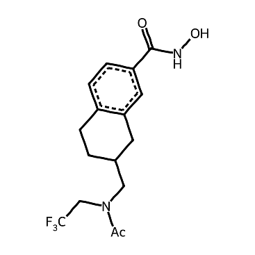 CC(=O)N(CC1CCc2ccc(C(=O)NO)cc2C1)CC(F)(F)F